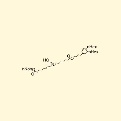 CCCCCCCCCOC(=O)CCCCCCCN(CCO)CCCCCCCC(=O)OCCCCc1ccc(CCCCCC)c(CCCCCC)c1